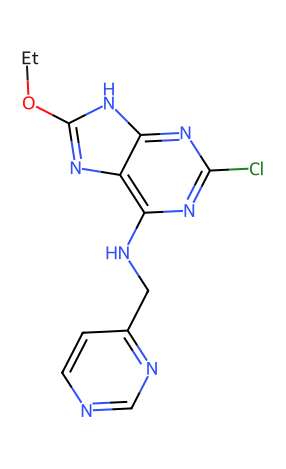 CCOc1nc2c(NCc3ccncn3)nc(Cl)nc2[nH]1